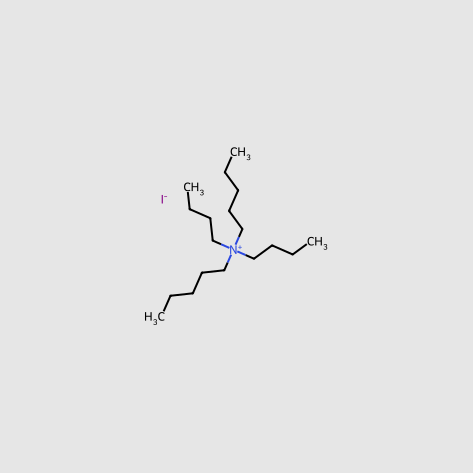 CCCCC[N+](CCCC)(CCCC)CCCCC.[I-]